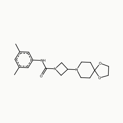 Cc1cc(C)cc(NC(=O)N2CC(N3CCC4(CC3)OCCO4)C2)c1